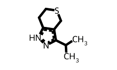 CC(C)c1n[nH]c2c1CSCC2